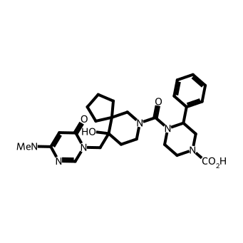 CNc1cc(=O)n(CC2(O)CCN(C(=O)N3CCN(C(=O)O)CC3c3ccccc3)CC23CCCC3)cn1